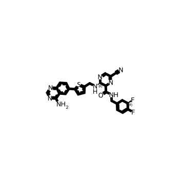 N#CC1=NC(C(=O)NCC2=CC=C(F)[C@H](F)C2)[C@H](NCc2ccc(-c3ccc4ncnc(N)c4c3)s2)N=C1